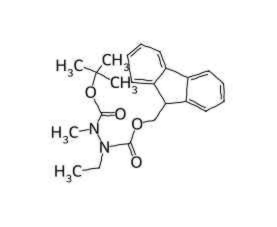 CCN(C(=O)OCC1c2ccccc2-c2ccccc21)N(C)C(=O)OC(C)(C)C